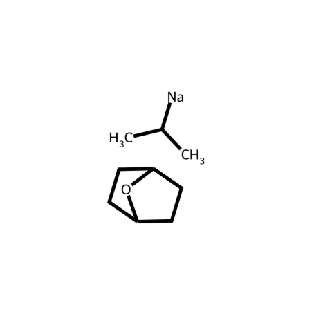 C1CC2CCC1O2.C[CH](C)[Na]